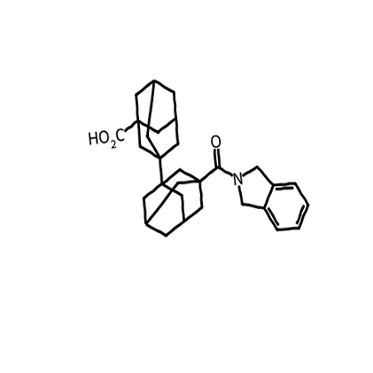 O=C(O)C12CC3CC(C1)CC(C14CC5CC(CC(C(=O)N6Cc7ccccc7C6)(C5)C1)C4)(C3)C2